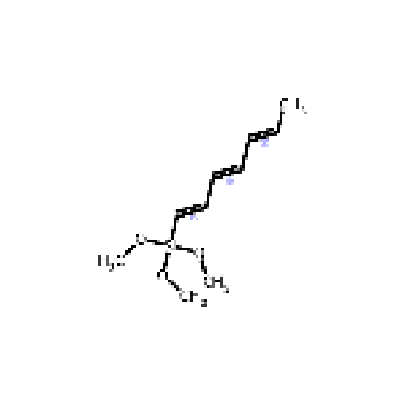 C/C=C/C=C/C=C/[Si](OC)(OC)OC